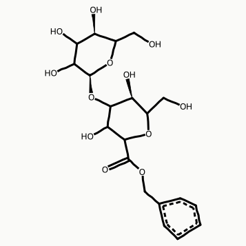 O=C(OCc1ccccc1)C1OC(CO)[C@H](O)C(O[C@@H]2OC(CO)[C@H](O)C(O)C2O)C1O